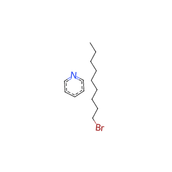 CCCCCCCCCBr.c1ccncc1